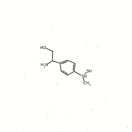 C[SH](S)c1ccc(C(N)CO)cc1